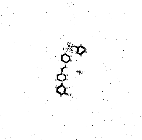 Cl.Cl.O=S(=O)(N[C@H]1CC[C@H](CCN2CCN(c3cccc(C(F)(F)F)c3)CC2)CC1)Oc1cccnc1